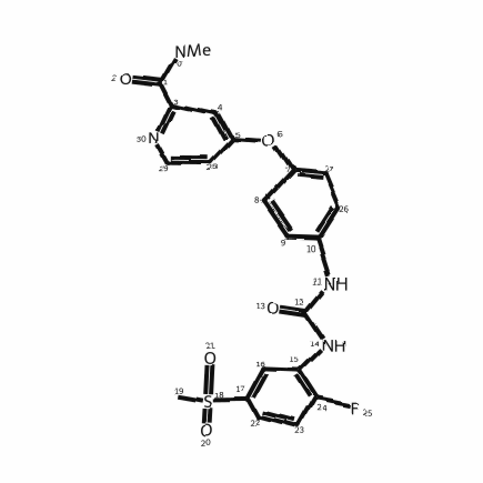 CNC(=O)c1cc(Oc2ccc(NC(=O)Nc3cc(S(C)(=O)=O)ccc3F)cc2)ccn1